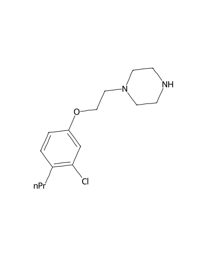 CCCc1ccc(OCCN2CCNCC2)cc1Cl